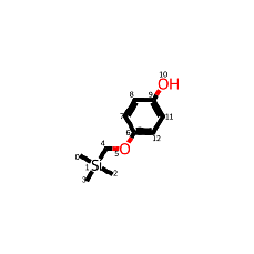 C[Si](C)(C)COc1ccc(O)cc1